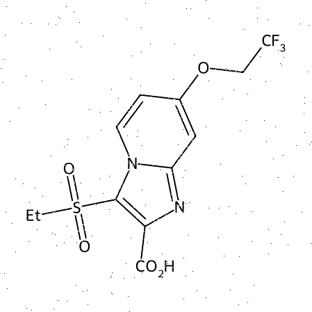 CCS(=O)(=O)c1c(C(=O)O)nc2cc(OCC(F)(F)F)ccn12